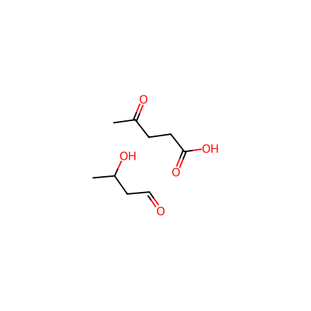 CC(=O)CCC(=O)O.CC(O)CC=O